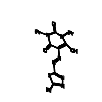 CCc1nnc(N=Nc2c(O)n(C(C)C)c(=O)n(C(C)C)c2=O)s1